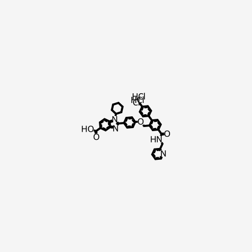 Cl.Cl.O=C(O)c1ccc2c(c1)nc(-c1ccc(OCc3cc(C(=O)NCc4ccccn4)ccc3-c3ccc(Cl)cc3)cc1)n2C1CCCCC1